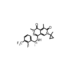 Cc1c(=O)n(C2(C)CC2)cc2c(N[C@H](C)c3cccc(C(F)(F)F)c3F)nn(C)c(=O)c12